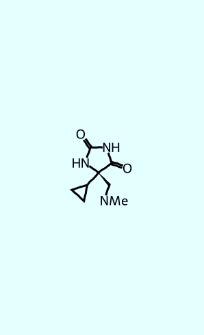 CNC[C@@]1(C2CC2)NC(=O)NC1=O